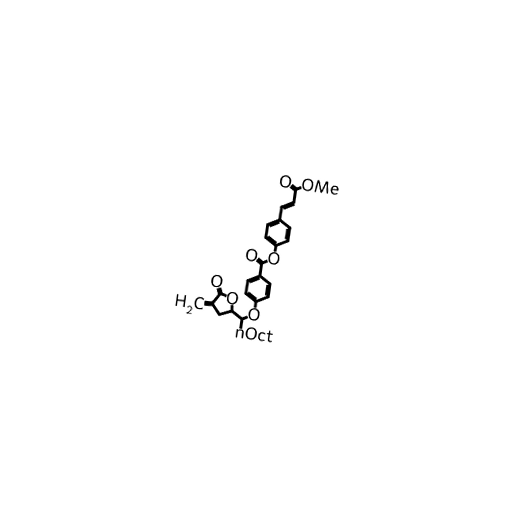 C=C1CC(C(CCCCCCCC)Oc2ccc(C(=O)Oc3ccc(/C=C/C(=O)OC)cc3)cc2)OC1=O